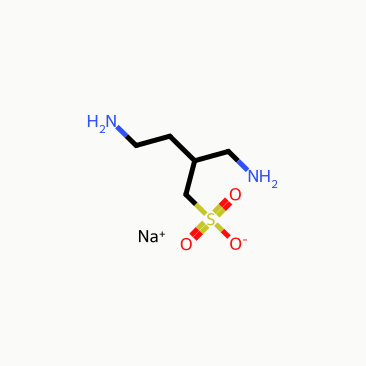 NCCC(CN)CS(=O)(=O)[O-].[Na+]